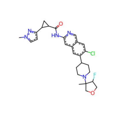 Cn1ccc(C2CC2C(=O)Nc2cc3cc(C4CCN(C5(C)COCC5F)CC4)c(Cl)cc3cn2)n1